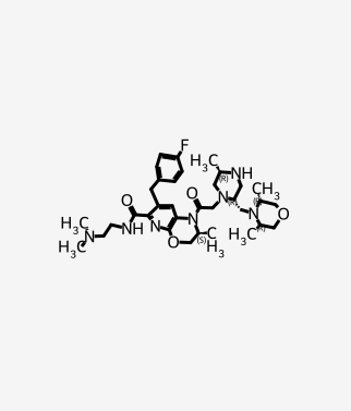 C[C@@H]1CN(CC(=O)N2c3cc(Cc4ccc(F)cc4)c(C(=O)NCCN(C)C)nc3OC[C@@H]2C)[C@@H](CN2[C@H](C)COC[C@H]2C)CN1